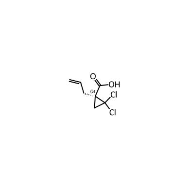 C=CC[C@@]1(C(=O)O)CC1(Cl)Cl